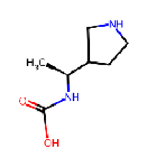 C[C@H](NC(=O)O)C1CCNC1